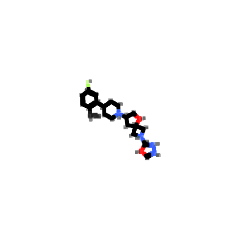 COc1ccc(F)cc1C1CCN(C2COC3(C2)CN(c2nnco2)C3)CC1